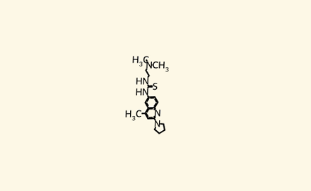 Cc1cc(N2CCCC2)nc2ccc(NC(=S)NCCN(C)C)cc12